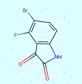 O=C1Nc2ccc(Br)c(F)c2C1=O